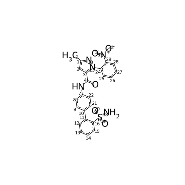 Cc1cc(C(=O)Nc2ccc(-c3ccccc3S(N)(=O)=O)cc2)n(-c2ccccc2[N+](=O)[O-])n1